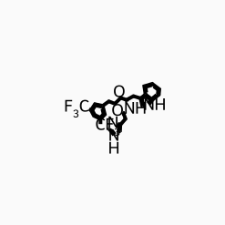 O=C(Cc1c[nH]cn1)NC(Cc1c[nH]c2ccccc12)C(=O)CCc1cc(C(F)(F)F)cc(C(F)(F)F)c1